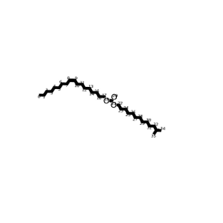 CCCCCCCC/C=C\CCCCCCCCOC(=O)OCCCCCCCCCCCC(C)C